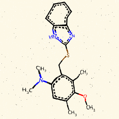 COc1c(C)cc(N(C)C)c(CSc2nc3ccccc3[nH]2)c1C